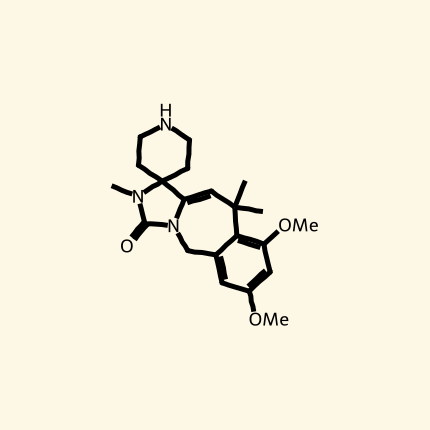 COc1cc2c(c(OC)c1)C(C)(C)C=C1N(C2)C(=O)N(C)C12CCNCC2